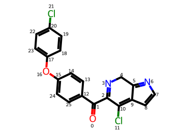 O=C(C1=NCC2=NC=CC2=C1Cl)c1ccc(Oc2ccc(Cl)cc2)cc1